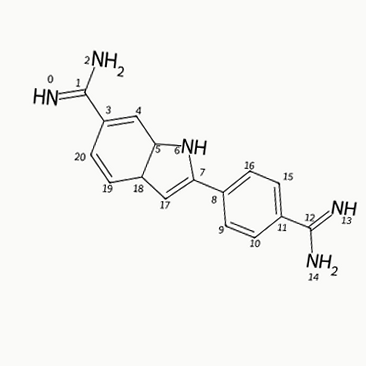 N=C(N)C1=CC2NC(c3ccc(C(=N)N)cc3)=CC2C=C1